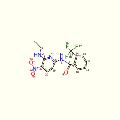 CCNc1nc(NC(=O)c2ccccc2C(F)(F)F)ccc1[N+](=O)[O-]